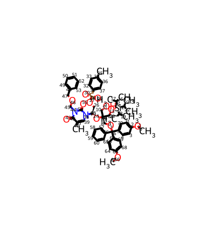 COc1ccc(C(OC[C@@](CO)(CO[Si](C(C)C)(C(C)C)C(C)C)O[C@H](COS(=O)(=O)c2ccc(C)cc2)n2cc(C)c(=O)n(COCc3ccccc3)c2=O)(c2ccccc2)c2ccc(OC)cc2)cc1